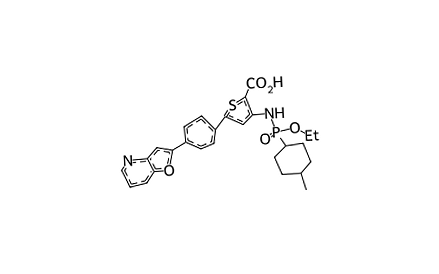 CCOP(=O)(Nc1cc(-c2ccc(-c3cc4ncccc4o3)cc2)sc1C(=O)O)C1CCC(C)CC1